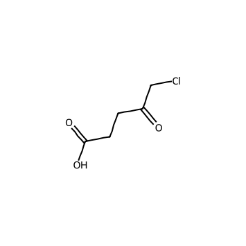 O=C(O)CCC(=O)CCl